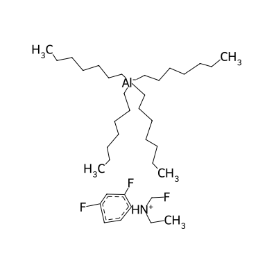 CCCCCC[CH2][Al-]([CH2]CCCCCC)([CH2]CCCCCC)[CH2]CCCCCC.CC[NH+](CF)c1ccc(F)cc1F